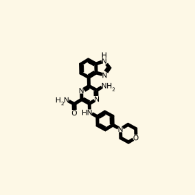 NC(=O)c1nc(-c2cccc3[nH]cnc23)c(N)nc1Nc1ccc(N2CCOCC2)cc1